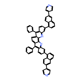 c1ccc(-c2c3ccc(-c4cccc5cc(-c6ccncc6)ccc45)cc3nc3c2ccc2c(-c4ccccc4)c4ccc(-c5cccc6cc(-c7ccncc7)ccc56)cc4nc23)cc1